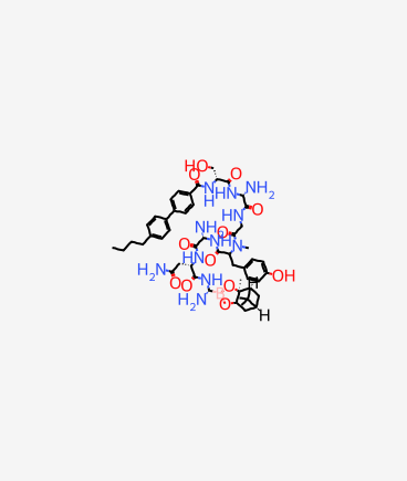 CCCCc1ccc(-c2ccc(C(=O)N[C@H](CO)C(=O)N[C@H](N)C(=O)NCC(=O)N(C)C(Cc3ccc(O)cc3)C(=O)N[C@@H](N)C(=O)N[C@@H](CC(N)=O)C(=O)N[C@@H](N)B3OC4C[C@@H]5C[C@@H](C5(C)C)[C@]4(C)O3)cc2)cc1